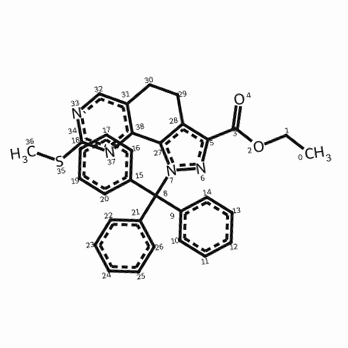 CCOC(=O)c1nn(C(c2ccccc2)(c2ccccc2)c2ccccc2)c2c1CCc1cnc(SC)nc1-2